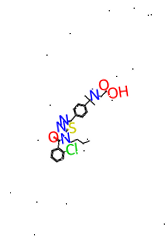 CCCCN(C(=O)c1ccccc1Cl)c1nnc(-c2ccc(C(C)(C)N(C)CC(=O)O)cc2)s1